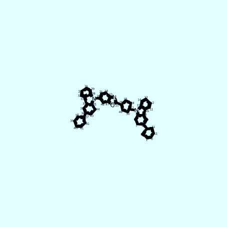 c1ccc(-c2ccc3c(c2)c2ccccc2n3-c2ccc(-c3nc4ccc(-n5c6ccccc6c6cc(-c7ccccc7)ccc65)cc4o3)cc2)cc1